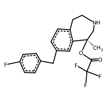 C[C@@]1(OC(=O)C(F)(F)F)CNCCc2ccc(Cc3ccc(F)cc3)cc21